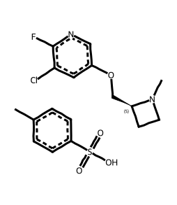 CN1CC[C@H]1COc1cnc(F)c(Cl)c1.Cc1ccc(S(=O)(=O)O)cc1